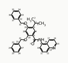 CC(C)c1cc(C(=O)Nc2cccc3ncccc23)c(OCc2ccccc2)cc1OCc1ccccc1